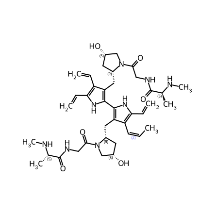 C=Cc1[nH]c(-c2[nH]c(C=C)c(/C=C\C)c2C[C@@H]2C[C@H](O)CN2C(=O)CNC(=O)[C@H](C)NC)c(C[C@@H]2C[C@H](O)CN2C(=O)CNC(=O)[C@H](C)NC)c1C=C